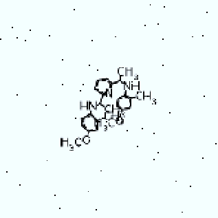 COc1ccc(NC(C)c2cccc(C(C)Nc3ccc(OC)cc3C)n2)c(C)c1